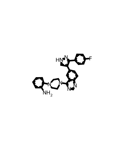 Nc1ccccc1N1CCN(c2ncnc3ccc(-c4c[nH]nc4-c4ccc(F)cc4)cc23)CC1